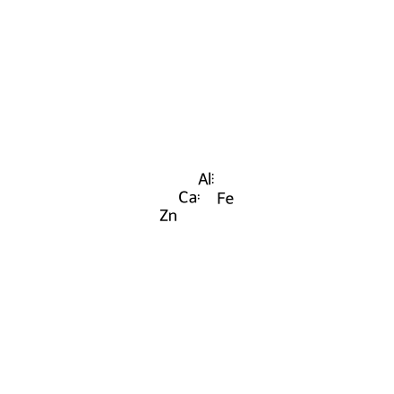 [Al].[Ca].[Fe].[Zn]